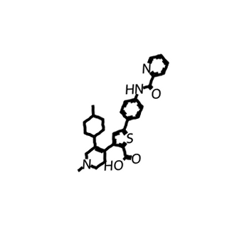 CC1CCC(C2=C(c3cc(-c4ccc(NC(=O)c5ccccn5)cc4)sc3C(=O)O)CCN(C)C2)CC1